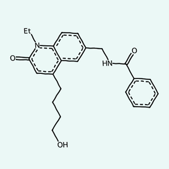 CCn1c(=O)cc(CCCCO)c2cc(CNC(=O)c3ccccc3)ccc21